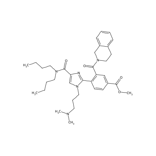 CCCCN(CCCC)C(=O)c1cn(CCCN(C)C)c(-c2ccc(C(=O)OC)cc2C(=O)N2CCc3ccccc3C2)n1